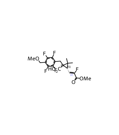 COCc1c(F)c(F)c(C[C@@]2(C(=O)O)[C@@H](/C=C(\F)C(=O)OC)C2(C)C)c(F)c1F